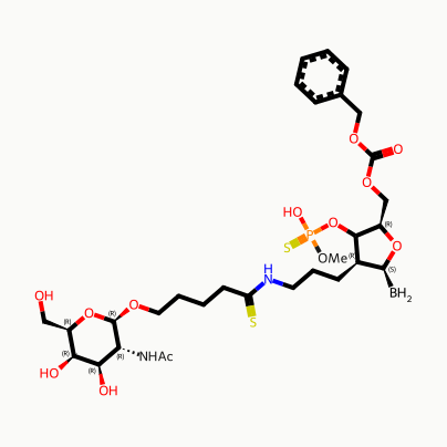 B[C@@H]1O[C@H](COC(=O)OCc2ccccc2)C(OP(O)(=S)OC)[C@@H]1CCCNC(=S)CCCCO[C@@H]1O[C@H](CO)[C@H](O)[C@H](O)[C@H]1NC(C)=O